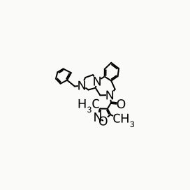 Cc1noc(C)c1C(=O)N1Cc2ccccc2N2CCN(Cc3ccccc3)CC2C1